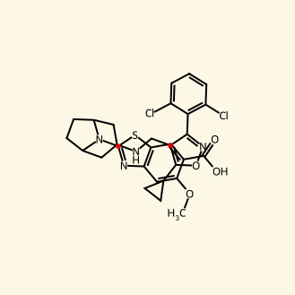 COc1cc2nc(N3C4CCC3CC(NCc3c(-c5c(Cl)cccc5Cl)noc3C3CC3)C4)sc2cc1C(=O)O